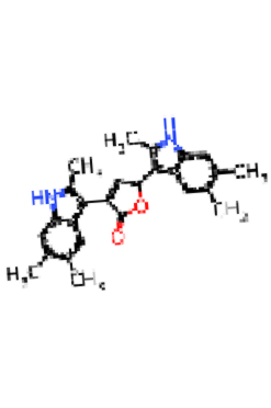 Cc1cc2[nH]c(C)c(C3=CC(c4c(C)[nH]c5cc(C)c(C)cc45)OC3=O)c2cc1C